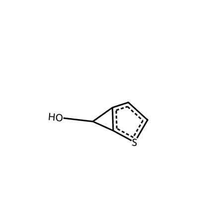 OC1c2ccsc21